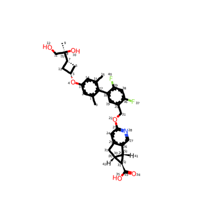 Cc1cc(O[C@H]2C[C@@H]([C@](C)(O)CO)C2)cc(C)c1-c1cc(COc2cc3c(cn2)[C@H]2[C@@H](C3)[C@@H]2C(=O)O)c(F)cc1F